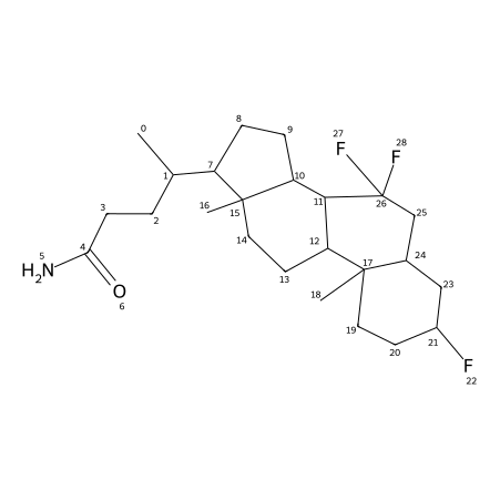 CC(CCC(N)=O)C1CCC2C3C(CCC12C)C1(C)CCC(F)CC1CC3(F)F